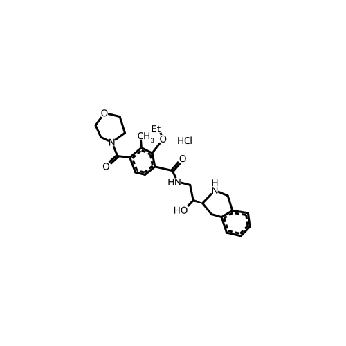 CCOc1c(C(=O)NCC(O)[C@@H]2Cc3ccccc3CN2)ccc(C(=O)N2CCOCC2)c1C.Cl